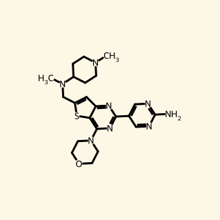 CN1CCC(N(C)Cc2cc3nc(-c4cnc(N)nc4)nc(N4CCOCC4)c3s2)CC1